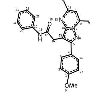 COc1ccc(-c2nn3c(C)cc(C)nc3c2CC(=O)Nc2ccccc2)cc1